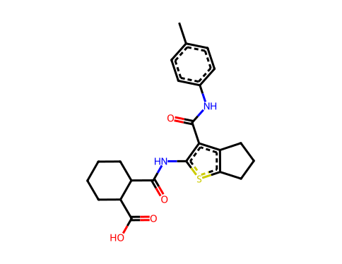 Cc1ccc(NC(=O)c2c(NC(=O)C3CCCCC3C(=O)O)sc3c2CCC3)cc1